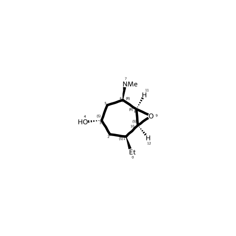 CC[C@H]1C[C@H](O)C[C@@H](NC)[C@H]2O[C@@H]12